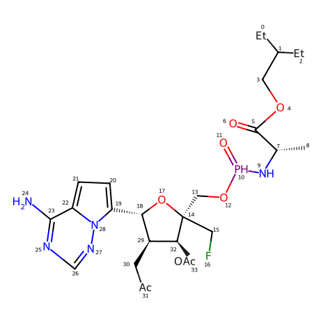 CCC(CC)COC(=O)[C@H](C)N[PH](=O)OC[C@@]1(CF)O[C@@H](c2ccc3c(N)ncnn23)[C@H](CC(C)=O)[C@@H]1OC(C)=O